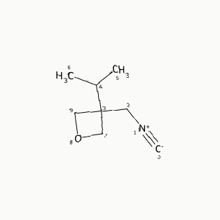 [C-]#[N+]CC1(C(C)C)COC1